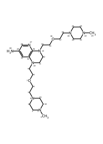 CN1CCN(CCOCCN2CCN(CCOCCN3CCN(C)CC3)c3ncc(N)cc32)CC1